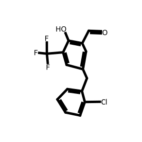 O=Cc1cc(Cc2ccccc2Cl)cc(C(F)(F)F)c1O